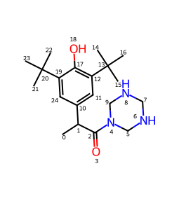 CC(C(=O)N1CNCNC1)c1cc(C(C)(C)C)c(O)c(C(C)(C)C)c1